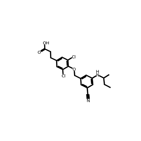 CCC(C)Nc1cc(C#N)cc(COc2c(Cl)cc(CCC(=O)O)cc2Cl)c1